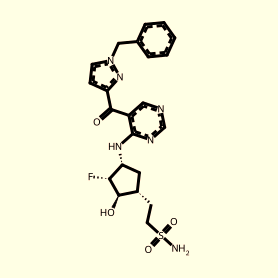 NS(=O)(=O)CC[C@H]1C[C@@H](Nc2ncncc2C(=O)c2ccn(Cc3ccccc3)n2)[C@@H](F)[C@@H]1O